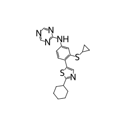 c1ncnc(Nc2ccc(-c3cnc(C4CCCCC4)s3)c(SC3CC3)c2)n1